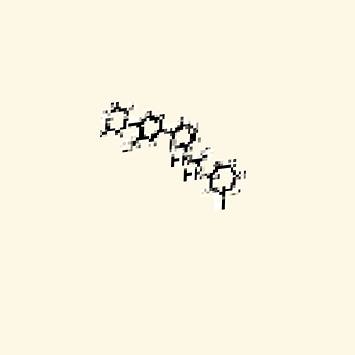 O=C(Nc1cncc(-c2ccc(N3CCOCC3)c(Cl)c2)n1)NC1CCCCNC1